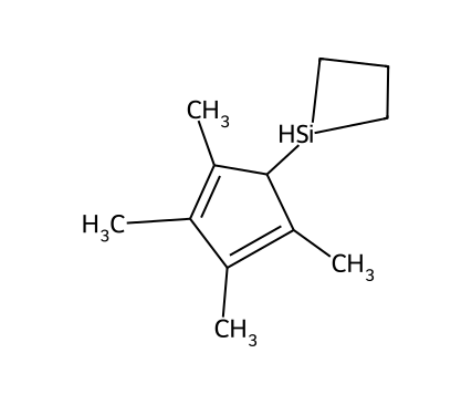 CC1=C(C)C([SiH]2CCC2)C(C)=C1C